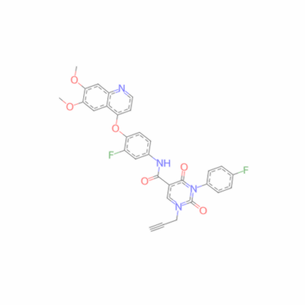 C#CCn1cc(C(=O)Nc2ccc(Oc3ccnc4cc(OC)c(OC)cc34)c(F)c2)c(=O)n(-c2ccc(F)cc2)c1=O